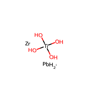 [OH][Ti]([OH])([OH])[OH].[PbH2].[Zr]